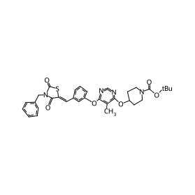 Cc1c(Oc2cccc(/C=C3\SC(=O)N(Cc4ccccc4)C3=O)c2)ncnc1OC1CCN(C(=O)OC(C)(C)C)CC1